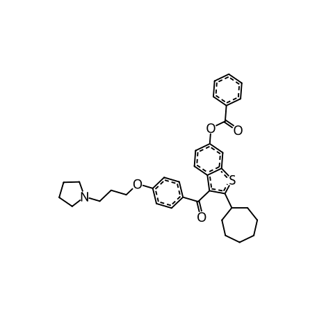 O=C(Oc1ccc2c(C(=O)c3ccc(OCCCN4CCCC4)cc3)c(C3CCCCCC3)sc2c1)c1ccccc1